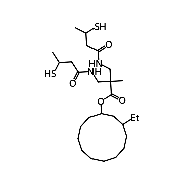 CCC1CCCCCCCCCC(OC(=O)C(C)(CNC(=O)CC(C)S)CNC(=O)CC(C)S)C1